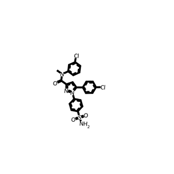 CN(C(=O)c1cc(-c2ccc(Cl)cc2)n(-c2ccc(S(N)(=O)=O)cc2)n1)c1cccc(Cl)c1